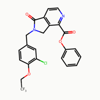 O=C(Oc1ccccc1)c1nccc2c1CN(Cc1ccc(OCC(F)(F)F)c(Cl)c1)C2=O